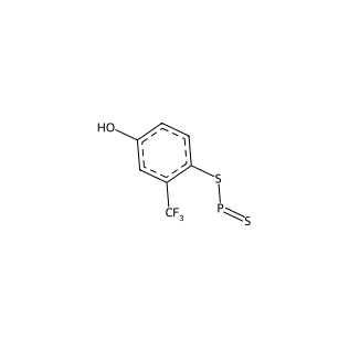 Oc1ccc(SP=S)c(C(F)(F)F)c1